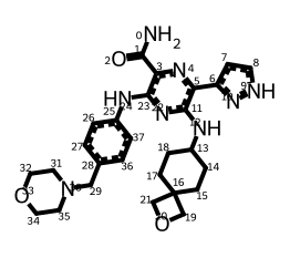 NC(=O)c1nc(-c2cc[nH]n2)c(NC2CCC3(CC2)COC3)nc1Nc1ccc(CN2CCOCC2)cc1